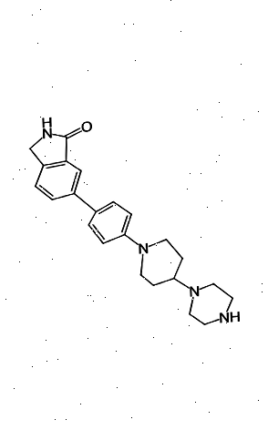 O=C1NCc2ccc(-c3ccc(N4CCC(N5CCNCC5)CC4)cc3)cc21